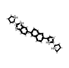 c1cc2cc(-c3cnc([C@@H]4CCCN4)[nH]3)ccc2cc1-c1ccc2nc([C@@H]3CCCN3)[nH]c2c1